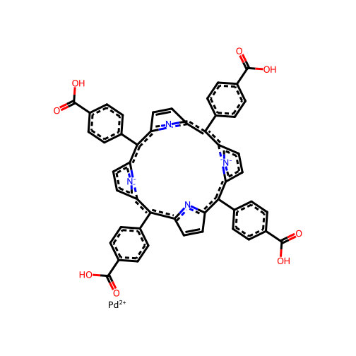 O=C(O)c1ccc(-c2c3nc(c(-c4ccc(C(=O)O)cc4)c4ccc([n-]4)c(-c4ccc(C(=O)O)cc4)c4nc(c(-c5ccc(C(=O)O)cc5)c5ccc2[n-]5)C=C4)C=C3)cc1.[Pd+2]